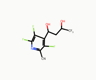 N#Cc1nc(F)c(F)c(C(O)CC(O)C(F)(F)F)c1F